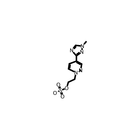 Cn1cnc(-c2cc[n+](CCOS(=O)(=O)[O-])nc2)n1